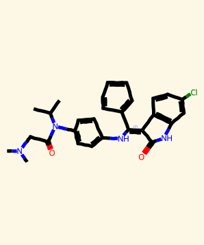 CC(C)N(C(=O)CN(C)C)c1ccc(N/C(=C2\C(=O)Nc3cc(Cl)ccc32)c2ccccc2)cc1